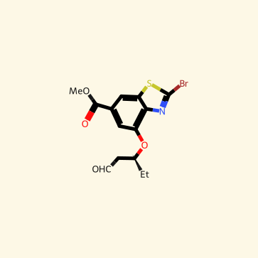 CC[C@@H](CC=O)Oc1cc(C(=O)OC)cc2sc(Br)nc12